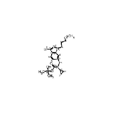 COCCCn1nc(Br)c2ccc(CN(C(=O)OC(C)(C)C)C3CC3)cc21